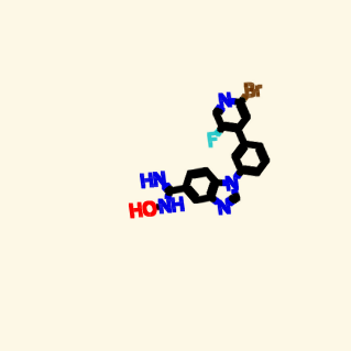 N=C(NO)c1ccc2c(c1)ncn2-c1cccc(-c2cc(Br)ncc2F)c1